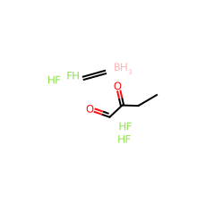 B.C=C.CCC(=O)C=O.F.F.F.F